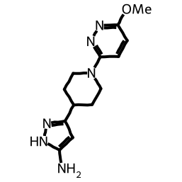 COc1ccc(N2CCC(c3cc(N)[nH]n3)CC2)nn1